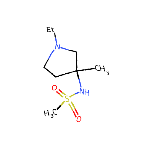 CCN1CCC(C)(NS(C)(=O)=O)C1